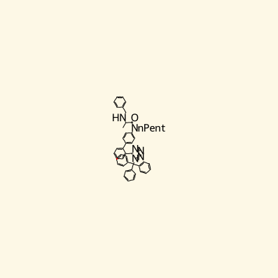 CCCCCN(C(=O)C(C)NCc1ccccc1)c1ccc(-c2ccccc2-c2nnnn2C(c2ccccc2)(c2ccccc2)c2ccccc2)cc1